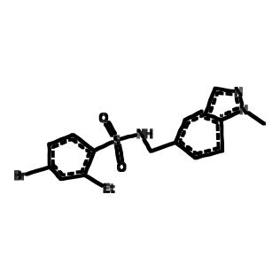 CCc1cc(Br)ccc1S(=O)(=O)NCc1ccc2c(cnn2C)c1